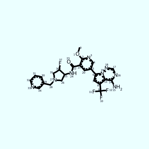 COc1ncc(-c2cc(C(F)(F)F)c3c(N)ncnn23)cc1C(=O)NC1CN(Cc2cccnc2)CC1F